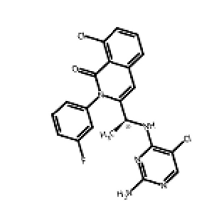 C[C@H](Nc1nc(N)ncc1Cl)c1cc2cccc(Cl)c2c(=O)n1-c1cccc(F)c1